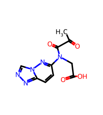 CC(=O)C(=O)N(CC(=O)O)c1ccc2nncn2n1